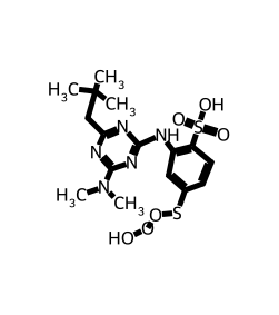 CN(C)c1nc(CC(C)(C)C)nc(Nc2cc(SOOO)ccc2S(=O)(=O)O)n1